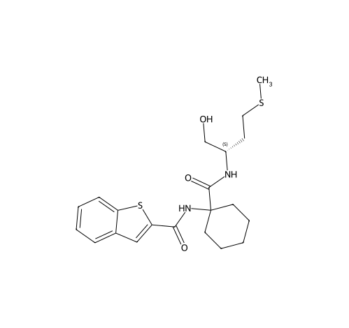 CSCC[C@@H](CO)NC(=O)C1(NC(=O)c2cc3ccccc3s2)CCCCC1